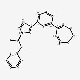 CC(Cc1ccccc1)n1cnc(-c2cc(C3=CCCCN=N3)ccn2)c1